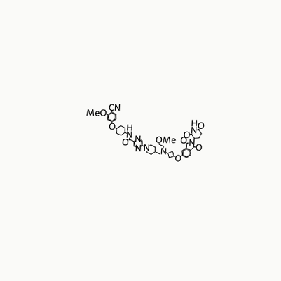 COCCN(CC1CCN(c2cnc(C(=O)NC3CCC(Oc4ccc(C#N)c(OC)c4)CC3)cn2)CC1)C1CC(Oc2ccc3c(c2)C(=O)N([C@@H]2CCC(=O)NC2=O)C3=O)C1